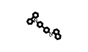 CN(c1ccc(-c2ccc(-n3c4ccccc4c4ccccc43)cc2)cc1)c1cccc2ccccc12